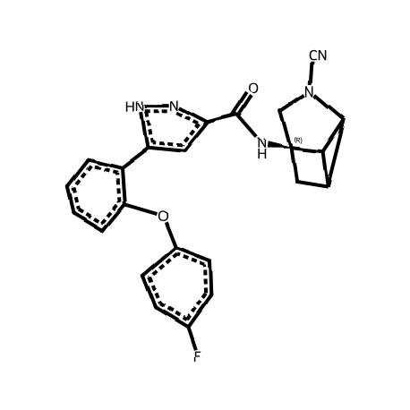 N#CN1C[C@@]2(NC(=O)c3cc(-c4ccccc4Oc4ccc(F)cc4)[nH]n3)CC3C1C32